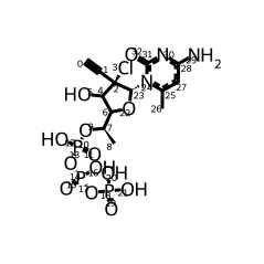 C#C[C@@]1(Cl)C(O)C([C@@H](C)OP(=O)(O)OP(=O)(O)OP(=O)(O)O)O[C@H]1n1c(C)cc(N)nc1=O